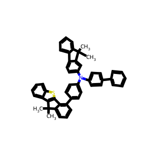 CC1(C)c2ccccc2-c2ccc(N(c3ccc(-c4ccccc4)cc3)c3ccc(-c4cccc5c4-c4sc6ccccc6c4C5(C)C)cc3)cc21